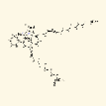 CCCCCCCCCCCCCCCCCCC#CCCCc1ccccc1/N=C(CCCCC)\C(CCCC)=N\c1ccccc1CCCC#CCCCCCCCCCCCCCCCCCC.[Ni]